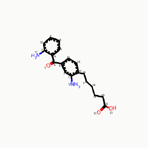 Nc1cc(C(=O)c2ccccc2N)ccc1CCCCCC(=O)O